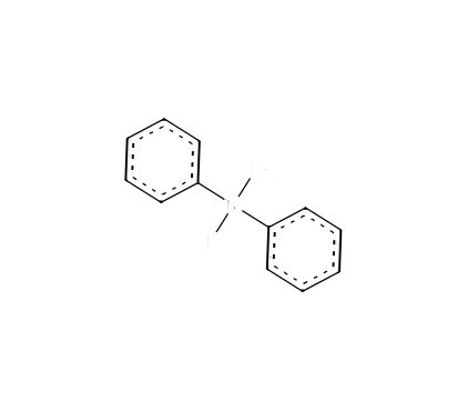 [PH2][Ni]([PH2])([c]1ccccc1)[c]1ccccc1